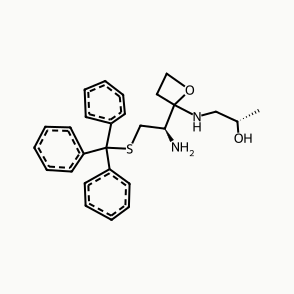 C[C@H](O)CNC1([C@@H](N)CSC(c2ccccc2)(c2ccccc2)c2ccccc2)CCO1